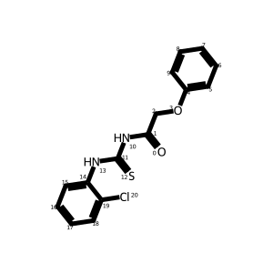 O=C(COc1ccccc1)NC(=S)Nc1ccccc1Cl